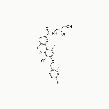 Cc1cc(OCc2ccc(F)cc2F)c(Cl)c(=O)n1-c1cc(C(=O)NCC(O)CO)ccc1F